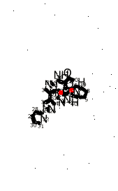 CC(=O)c1c(C2C[C@H]3CC[C@@H](C2)N3C(=O)c2nnc[nH]2)nc2c(-c3cnn(-c4ccccn4)c3)cnn2c1N